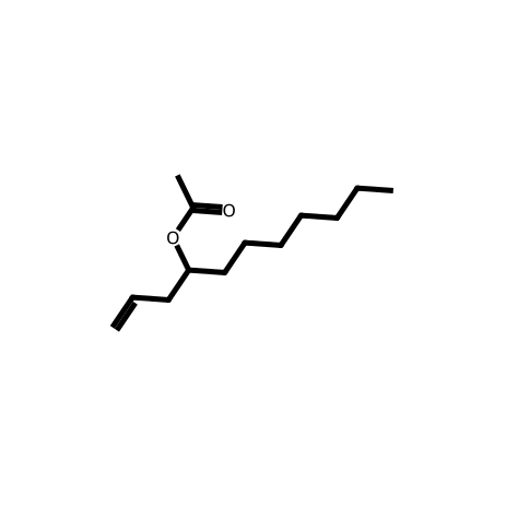 C=CCC(CCCCCCC)OC(C)=O